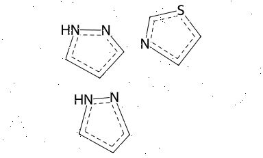 c1cn[nH]c1.c1cn[nH]c1.c1cscn1